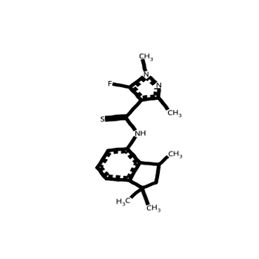 Cc1nn(C)c(F)c1C(=S)Nc1cccc2c1C(C)CC2(C)C